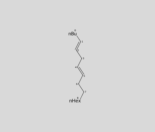 [CH2]CCCC=CCC=CCCCCCCC[CH2]